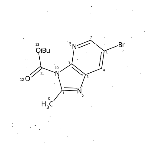 Cc1nc2cc(Br)cnc2n1C(=O)OCC(C)C